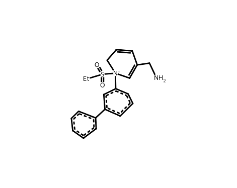 CCS(=O)(=O)[N+]1(c2cccc(-c3ccccc3)c2)C=C(CN)C=CC1